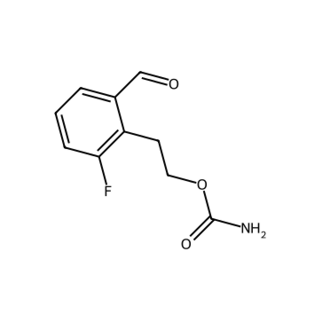 NC(=O)OCCc1c(F)cccc1C=O